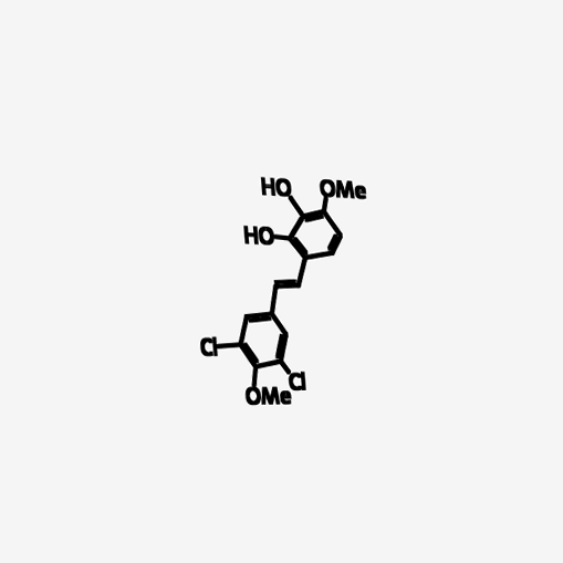 COc1ccc(C=Cc2cc(Cl)c(OC)c(Cl)c2)c(O)c1O